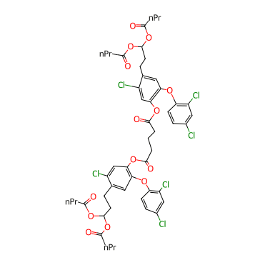 CCCC(=O)OC(CCc1cc(Oc2ccc(Cl)cc2Cl)c(OC(=O)CCCC(=O)Oc2cc(Cl)c(CCC(OC(=O)CCC)OC(=O)CCC)cc2Oc2ccc(Cl)cc2Cl)cc1Cl)OC(=O)CCC